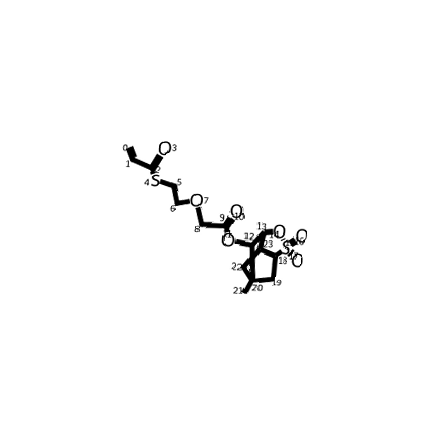 C=CC(=O)SCCOCC(=O)OC1C2OS(=O)(=O)C3CC1(C)CC23